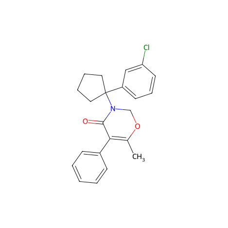 CC1=C(c2ccccc2)C(=O)N(C2(c3cccc(Cl)c3)CCCC2)CO1